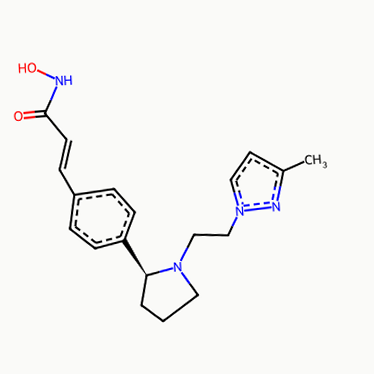 Cc1ccn(CCN2CCC[C@H]2c2ccc(C=CC(=O)NO)cc2)n1